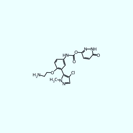 Cn1ncc(Cl)c1-c1cc(NC(=O)Oc2ccc(=O)[nH]n2)ccc1OCCN